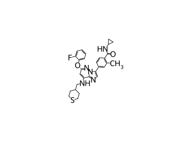 Cc1cc(-c2cnc3c(NCC4CCSCC4)cc(Oc4ccccc4F)nn23)ccc1C(=O)NC1CC1